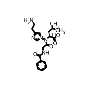 CC(C)C[C@@H](C(=O)O)N(C(=O)CNC(=O)c1ccccc1)n1cnc(CCN)c1